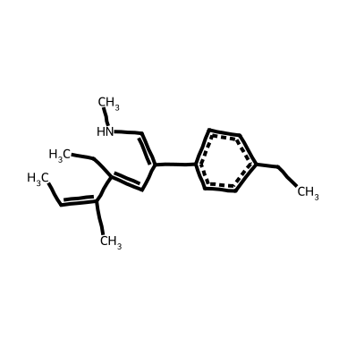 C\C=C(C)/C(=C/C(=C\NC)c1ccc(CC)cc1)CC